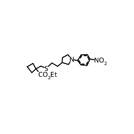 CCOC(=O)C1(CSCCC2CCN(c3ccc([N+](=O)[O-])cc3)C2)CCC1